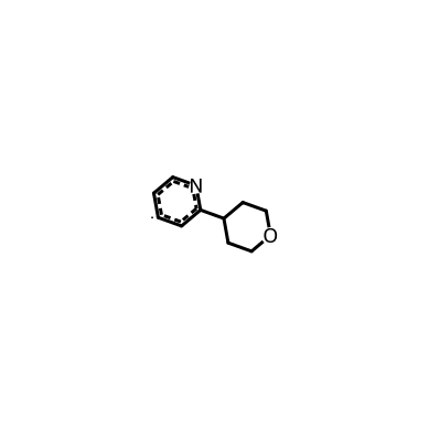 [c]1ccnc(C2CCOCC2)c1